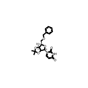 CC1(C)OC2[C@@H](O1)[C@@H](COCc1ccccc1)O[C@H]2n1ccc(=O)[nH]c1=O